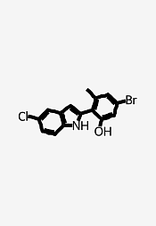 Cc1cc(Br)cc(O)c1-c1cc2cc(Cl)ccc2[nH]1